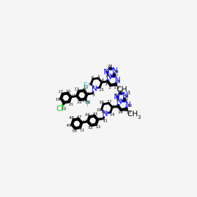 Cc1cc(C2CCCN(Cc3c(F)cc(-c4cccc(Cl)c4)cc3F)C2)n2ncnc2n1.Cc1cc(C2CCCN(Cc3ccc(-c4ccccc4)cc3)C2)n2ncnc2n1